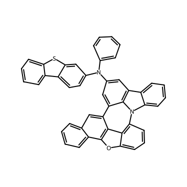 c1ccc(N(c2ccc3c(c2)sc2ccccc23)c2cc3c4cc5ccccc5c5oc6cccc(c6c45)n4c5ccccc5c(c2)c34)cc1